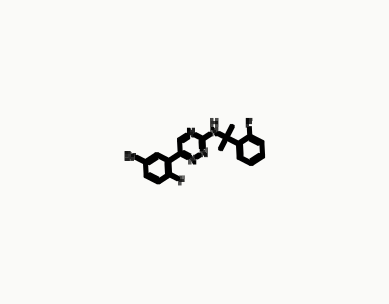 CC(C)(Nc1ncc(-c2cc(Br)ccc2F)nn1)c1ccccc1F